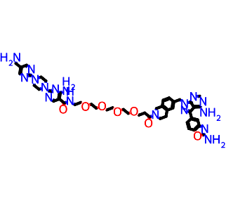 NCc1cnc(N2CCN(c3ncc(C(=O)NCCOCCOCCOCCOCCC(=O)N4CCc5cc(Cn6nc(-c7ccc8oc(N)nc8c7)c7c(N)ncnc76)ccc5C4)c(N)n3)CC2)nc1